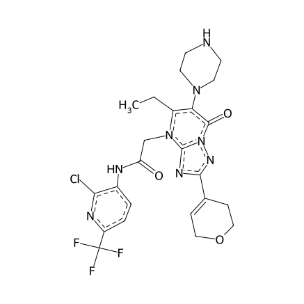 CCc1c(N2CCNCC2)c(=O)n2nc(C3=CCOCC3)nc2n1CC(=O)Nc1ccc(C(F)(F)F)nc1Cl